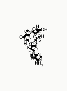 Nc1nc2c(ncn2[C@@H]2O[C@@H]3C(O)[C@]3(F)[C@H]2OP(O)(=S)OC[C@H]2O[C@@H](n3nnc4c(N)ncnc43)C(F)(F)[C@@H]2O)c(=O)[nH]1